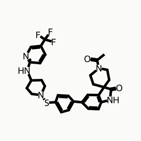 CC(=O)N1CCC2(CC1)C(=O)Nc1ccc(-c3ccc(SN4CCC(Nc5ccc(C(F)(F)F)cn5)CC4)cc3)cc12